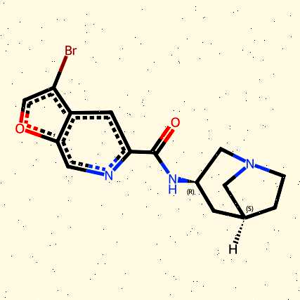 O=C(N[C@@H]1C[C@@H]2CCN(C2)C1)c1cc2c(Br)coc2cn1